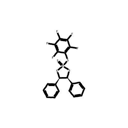 Fc1c(F)c(F)c(SP2(=S)S[C@H](c3ccccc3)[C@H](c3ccccc3)S2)c(F)c1F